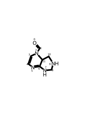 O=CN1C=CN=C2NCNCC21